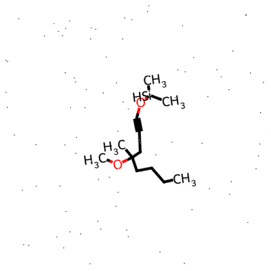 CCCCC(C)(CC#CO[SiH](C)C)OC